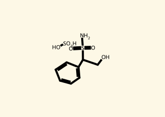 NS(=O)(=O)C(CO)c1ccccc1.O=S(=O)(O)O